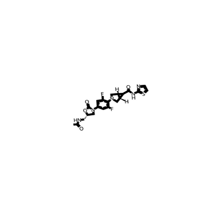 CC(=O)NC[C@H]1CN(c2cc(F)c(N3C[C@@H]4C(C(=O)Nc5nccs5)[C@@H]4C3)c(F)c2)C(=O)O1